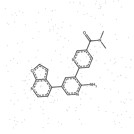 CN(C)C(=O)c1ccc(-c2cc(-c3ccnc4occc34)cnc2N)nc1